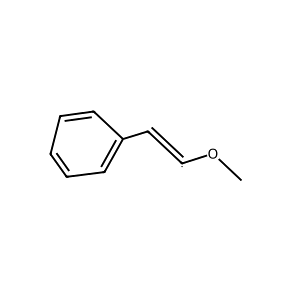 CO/[C]=C/c1ccccc1